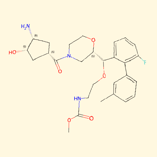 COC(=O)NCCOC(c1cccc(F)c1-c1cccc(C)c1)[C@@H]1CN(C(=O)[C@H]2C[C@@H](N)[C@@H](O)C2)CCO1